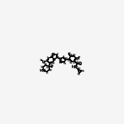 COc1cc2ncc(-n3cc(-c4cc(C(=O)NC5CC5)c(F)cc4C)cn3)n2cc1C1(F)CCNCC1